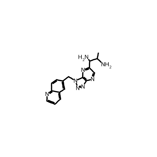 CC(N)C(N)c1cnc2nnn(Cc3ccc4ncccc4c3)c2n1